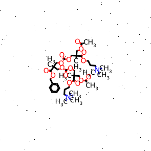 CC(=O)OCC(C)(COC(=O)OCC(C)(COC(=O)OCC(C)(COC(C)=O)C(=O)OCCC[N+](C)(C)C)C(=O)OCc1ccccc1)C(=O)OCCC[N+](C)(C)C